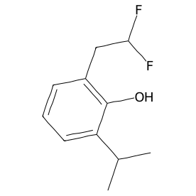 CC(C)c1cccc(CC(F)F)c1O